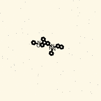 c1ccc(-c2nc(-c3ccc4ccccc4c3)nc(-c3ccc4c5ccccc5c5c(ccc6oc(-c7ccccc7)nc65)c4c3)n2)cc1